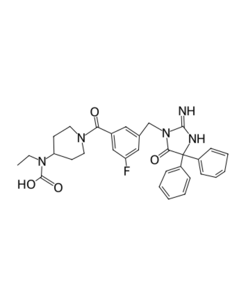 CCN(C(=O)O)C1CCN(C(=O)c2cc(F)cc(CN3C(=N)NC(c4ccccc4)(c4ccccc4)C3=O)c2)CC1